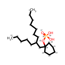 CCCCCCCC(CCCCC)CC1(OP(=O)(O)O)CCCCC1